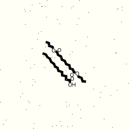 CCCCCCCCCCCCCC(=O)O.CCCCOC(=O)CCCCCCCCC(=O)OCCCC